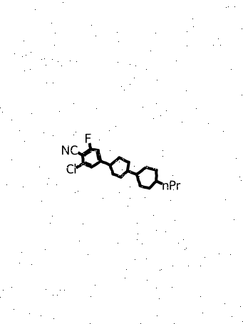 CCCC1CCC(C2CCC(c3cc(F)c(C#N)c(Cl)c3)CC2)CC1